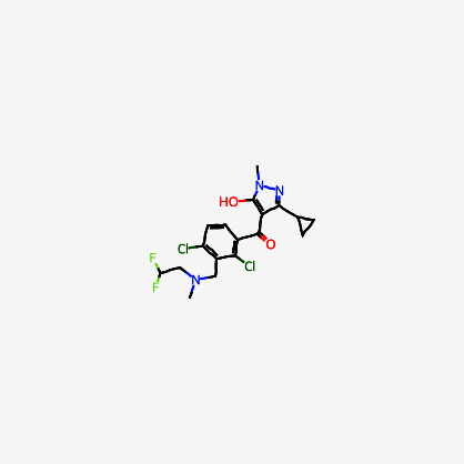 CN(Cc1c(Cl)ccc(C(=O)c2c(C3CC3)nn(C)c2O)c1Cl)CC(F)F